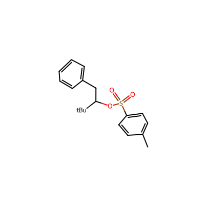 Cc1ccc(S(=O)(=O)OC(Cc2ccccc2)C(C)(C)C)cc1